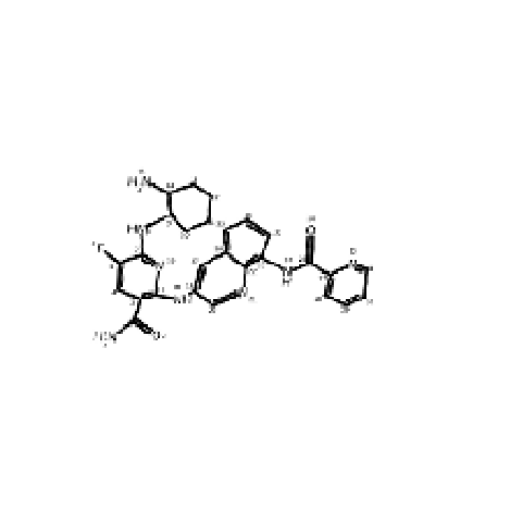 NC(=O)c1cc(F)c(N[C@@H]2CCCCC2N)nc1Nc1cnc2c(NC(=O)c3ccccn3)cccc2c1